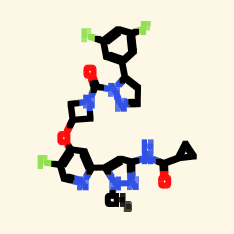 Cn1nc(NC(=O)C2CC2)cc1-c1cc(OC2CN(C(=O)N3N=CCC3c3cc(F)cc(F)c3)C2)c(F)cn1